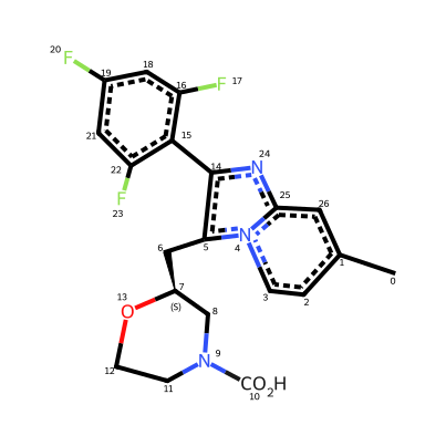 Cc1ccn2c(C[C@H]3CN(C(=O)O)CCO3)c(-c3c(F)cc(F)cc3F)nc2c1